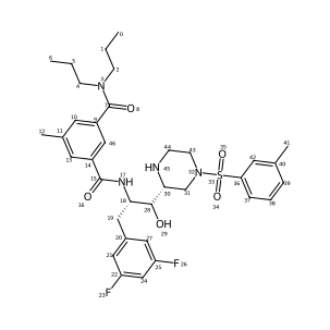 CCCN(CCC)C(=O)c1cc(C)cc(C(=O)N[C@@H](Cc2cc(F)cc(F)c2)C(O)[C@H]2CN(S(=O)(=O)c3cccc(C)c3)CCN2)c1